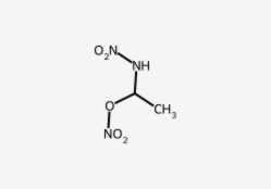 CC(N[N+](=O)[O-])O[N+](=O)[O-]